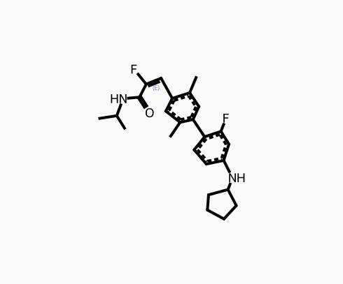 Cc1cc(-c2ccc(NC3CCCC3)cc2F)c(C)cc1/C=C(/F)C(=O)NC(C)C